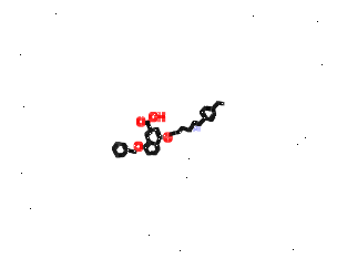 CCc1ccc(/C=C/CCCCOc2cc(C(=O)O)cc3c(OCc4ccccc4)cccc23)cc1